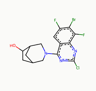 OC1CC2CC1CN(c1nc(Cl)nc3c(F)c(Br)c(F)cc13)C2